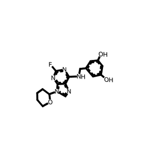 Oc1cc(O)cc(CNc2nc(F)nc3c2ncn3C2CCCCO2)c1